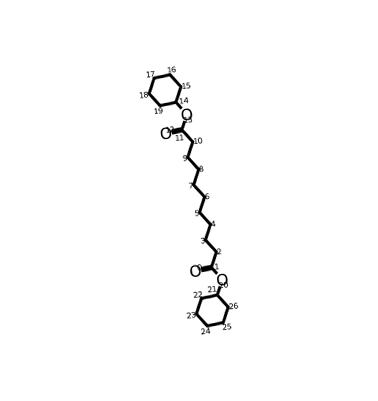 O=C(CCCCCCCCCC(=O)OC1CCCCC1)OC1CCCCC1